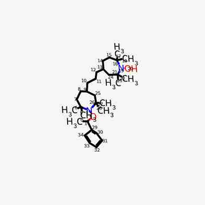 CC(ON1C(C)(C)CCC(CCCC2CCC(C)(C)N(O)C(C)(C)C2)CC1(C)C)c1ccccc1